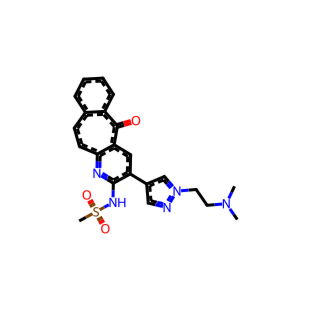 CN(C)CCn1cc(-c2cc3c(=O)c4ccccc4ccc3nc2NS(C)(=O)=O)cn1